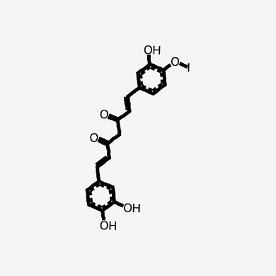 O=C(/C=C/c1ccc(O)c(O)c1)CC(=O)/C=C/c1ccc(OI)c(O)c1